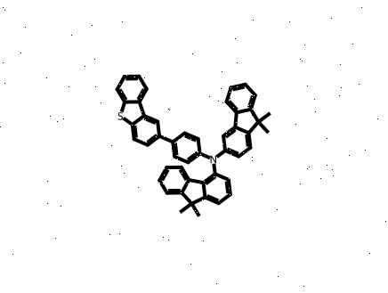 CC1(C)c2ccccc2-c2cc(N(c3ccc(-c4ccc5sc6ccccc6c5c4)cc3)c3cccc4c3-c3ccccc3C4(C)C)ccc21